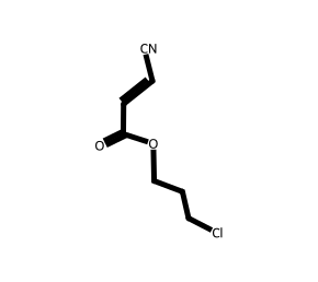 N#CC=CC(=O)OCCCCl